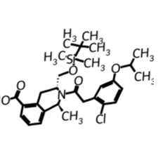 CC(C)Oc1ccc(Cl)c(CC(=O)N2[C@@H](CO[Si](C)(C)C(C)(C)C)Cc3c(C(=O)O)cccc3[C@@H]2C)c1